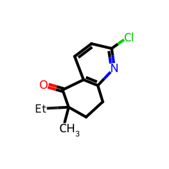 CCC1(C)CCc2nc(Cl)ccc2C1=O